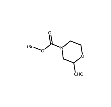 CC(C)(C)OC(=O)N1CCOC(C=O)C1